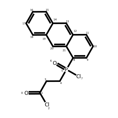 O=C(Cl)CCP(=O)(Cl)c1cccc2cc3ccccc3cc12